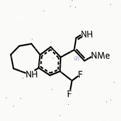 CN/C=C(\C=N)c1cc2c(cc1C(F)F)NCCCC2